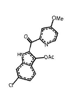 COc1ccnc(C(=O)c2[nH]c3cc(Cl)ccc3c2OC(C)=O)c1